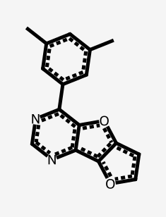 Cc1cc(C)cc(-c2ncnc3c2oc2ccoc23)c1